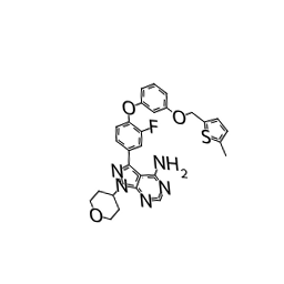 Cc1ccc(COc2cccc(Oc3ccc(-c4nn(C5CCOCC5)c5ncnc(N)c45)cc3F)c2)s1